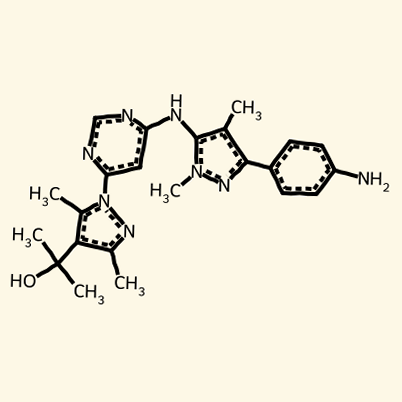 Cc1nn(-c2cc(Nc3c(C)c(-c4ccc(N)cc4)nn3C)ncn2)c(C)c1C(C)(C)O